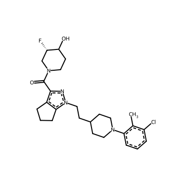 Cc1c(Cl)cccc1N1CCC(CCn2nc(C(=O)N3CCC(O)[C@@H](F)C3)c3c2CCC3)CC1